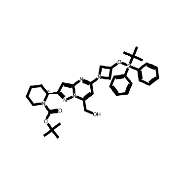 CC(C)(C)OC(=O)N1CCCC[C@H]1c1cc2nc(N3CC(O[Si](c4ccccc4)(c4ccccc4)C(C)(C)C)C3)cc(CO)n2n1